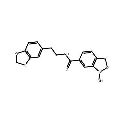 O=C(NCCc1ccc2c(c1)OCO2)c1ccc2c(c1)B(O)OC2